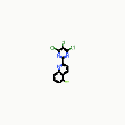 Fc1cccc2nc(-c3nc(Cl)c(Cl)c(Cl)n3)ccc12